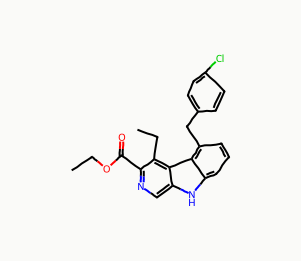 CCOC(=O)c1ncc2[nH]c3cccc(Cc4ccc(Cl)cc4)c3c2c1CC